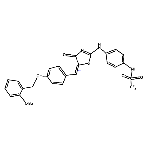 CC(C)COc1ccccc1COc1ccc(/C=C2/SC(Nc3ccc(NS(=O)(=O)C(F)(F)F)cc3)=NC2=O)cc1